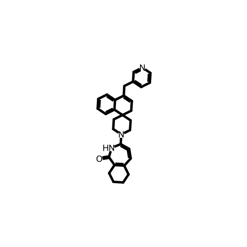 O=C1NC(N2CCC3(CC=C(Cc4cccnc4)c4ccccc43)CC2)=C=CC2=C1CCCC2